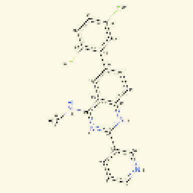 CNc1nc(-c2cccnc2)nc2ccc(-c3cc(F)ccc3F)cc12